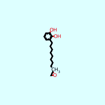 C1CO1.CCCCCCCCCc1cccc(O)c1O